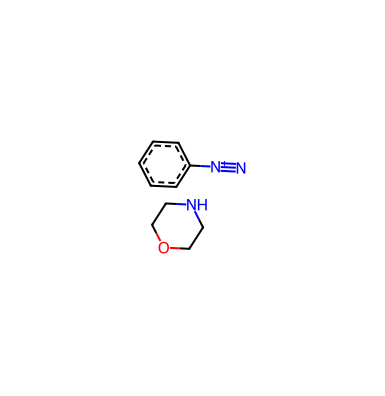 C1COCCN1.N#[N+]c1ccccc1